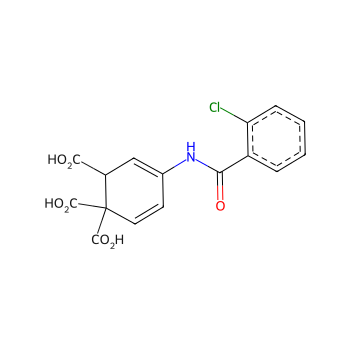 O=C(NC1=CC(C(=O)O)C(C(=O)O)(C(=O)O)C=C1)c1ccccc1Cl